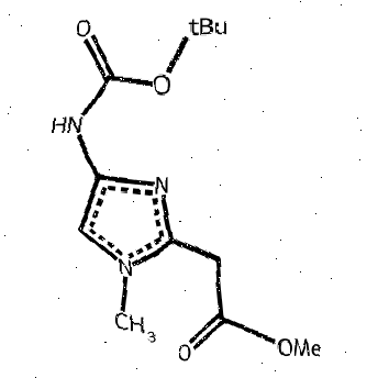 COC(=O)Cc1nc(NC(=O)OC(C)(C)C)cn1C